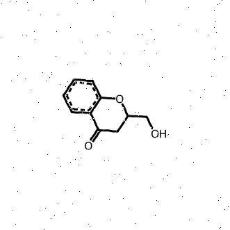 O=C1CC(CO)Oc2ccccc21